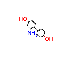 Nc1cc(O)ccc1-c1ccc(O)cc1